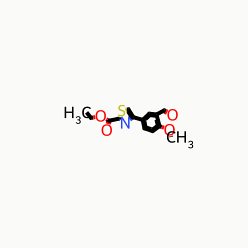 CCOC(=O)c1nc(-c2ccc(OC)c(C=O)c2)cs1